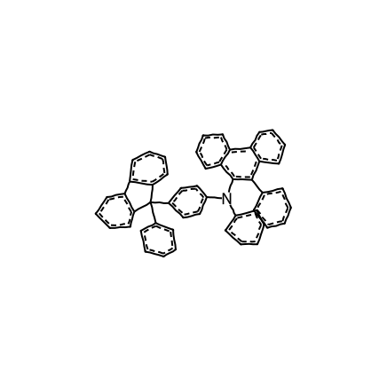 c1ccc(-c2c(N(c3ccccc3)c3ccc(C4(c5ccccc5)c5ccccc5-c5ccccc54)cc3)c3ccccc3c3ccccc23)cc1